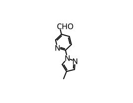 Cc1cnn(-c2ccc(C=O)cn2)c1